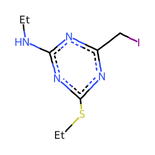 CCNc1nc(CI)nc(SCC)n1